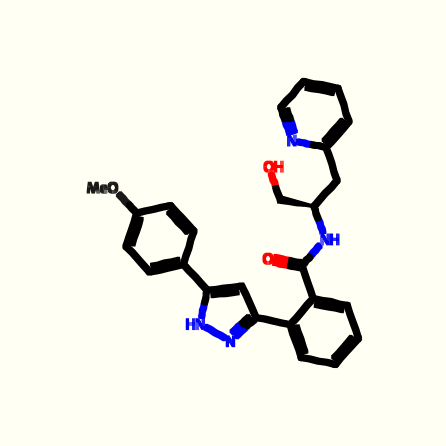 COc1ccc(-c2cc(-c3ccccc3C(=O)N[C@@H](CO)Cc3ccccn3)n[nH]2)cc1